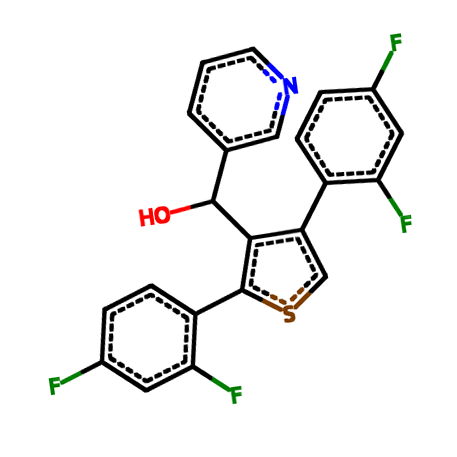 OC(c1cccnc1)c1c(-c2ccc(F)cc2F)csc1-c1ccc(F)cc1F